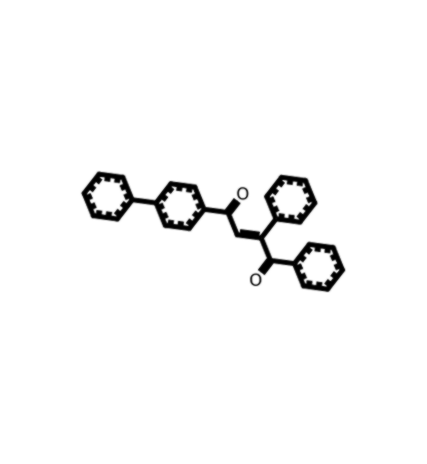 O=C(C=C(C(=O)c1ccccc1)c1ccccc1)c1ccc(-c2ccccc2)cc1